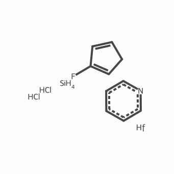 Cl.Cl.FC1=CCC=C1.[Hf].[SiH4].c1ccncc1